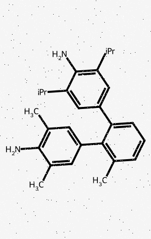 Cc1cc(-c2c(C)cccc2-c2cc(C(C)C)c(N)c(C(C)C)c2)cc(C)c1N